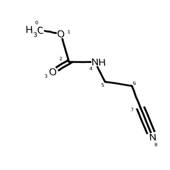 COC(=O)NCCC#N